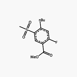 CCCCc1cc(F)c(C(=O)OC)cc1S(C)(=O)=O